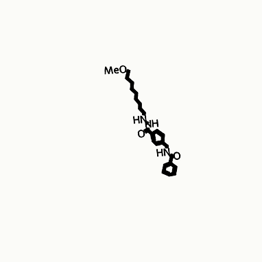 COCCCCCCCCCNNC(=O)c1ccc(CNC(=O)c2ccccc2)cc1